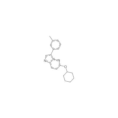 Cc1cccc(-c2cnc3ccc(OC4CCCCC4)nn23)c1